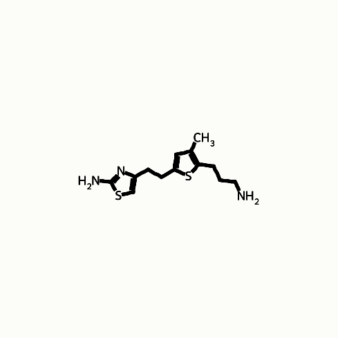 Cc1cc(CCc2csc(N)n2)sc1CCCN